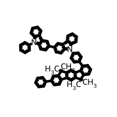 CC1(C)c2cc(-c3ccccc3)ccc2-c2cc3c(cc21)-c1c(-c2ccc(-n4c5ccccc5c5cc(-c6ccc7c(c6)c6ccccc6n7-c6ccccc6)ccc54)cc2)cccc1C3(C)C